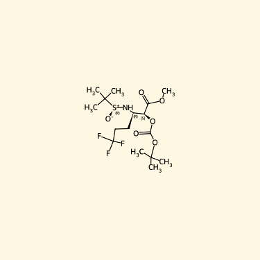 COC(=O)[C@@H](OC(=O)OC(C)(C)C)[C@@H](CCC(F)(F)F)N[S@@+]([O-])C(C)(C)C